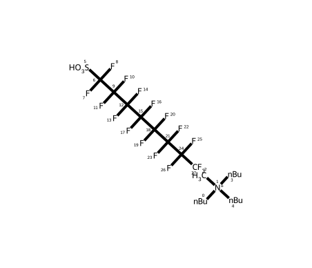 CCCC[N+](C)(CCCC)CCCC.O=S(=O)(O)C(F)(F)C(F)(F)C(F)(F)C(F)(F)C(F)(F)C(F)(F)C(F)(F)C(F)(F)F